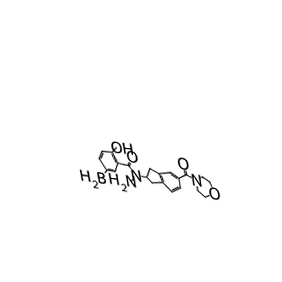 Bc1ccc(O)c(C(=O)N(N)C2Cc3ccc(C(=O)N4CCOCC4)cc3C2)c1